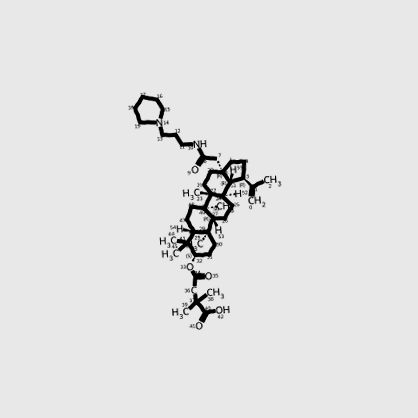 C=C(C)[C@@H]1CC[C@]2(CC(=O)NCCCN3CCCCC3)CC[C@]3(C)[C@H](CC[C@@H]4[C@@]5(C)CC[C@H](OC(=O)CC(C)(C)C(=O)O)C(C)(C)[C@@H]5CC[C@]43C)[C@@H]12